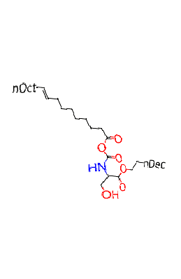 CCCCCCCCC=CCCCCCCCC(=O)OC(=O)NC(CO)C(=O)OCCCCCCCCCCCC